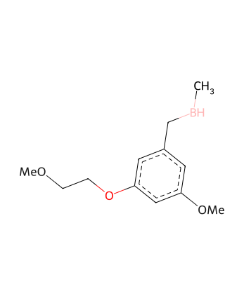 CBCc1cc(OC)cc(OCCOC)c1